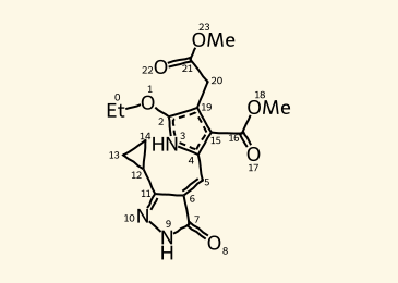 CCOc1[nH]c(C=C2C(=O)NN=C2C2CC2)c(C(=O)OC)c1CC(=O)OC